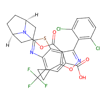 O=C(O)c1cc(C(F)(F)F)c2nc(N3[C@@H]4CC[C@H]3CC(OC(=O)c3c(-c5c(Cl)cccc5Cl)noc3C3CC3)C4)sc2c1